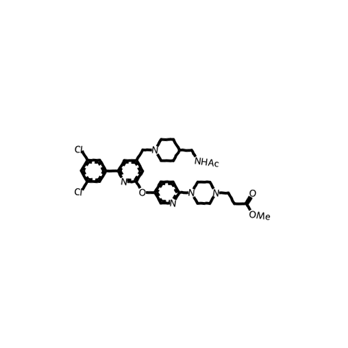 COC(=O)CCN1CCN(c2ccc(Oc3cc(CN4CCC(CNC(C)=O)CC4)cc(-c4cc(Cl)cc(Cl)c4)n3)cn2)CC1